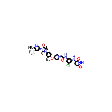 CCc1cc(N2C(=S)N(c3cnc(C#N)c(C(F)(F)F)c3)C(=O)C2(C)C)ccc1OC1CCN(CC(=O)Nc2cc(Cl)cc(NC3CCC(=O)NC3=O)c2)CC1